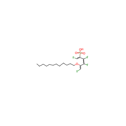 CCCCCCCCCCCCOC(=C\F)/C(F)=C(F)\C(=C\F)S(=O)(=O)O